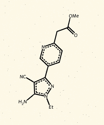 CCn1nc(-c2ccc(CC(=O)OC)nc2)c(C#N)c1N